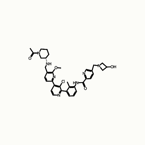 COc1nc(-c2ccnc(-c3cccc(NC(=O)c4ccc(CN5CC(O)C5)cn4)c3C)c2Cl)ccc1CN[C@H]1CCCN(C(C)=O)C1